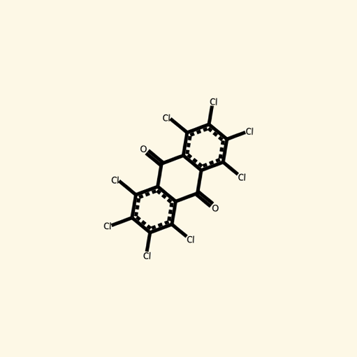 O=C1c2c(Cl)c(Cl)c(Cl)c(Cl)c2C(=O)c2c(Cl)c(Cl)c(Cl)c(Cl)c21